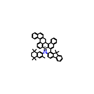 Cc1cc2c(cc1N1B3c4cccc5c4C(Cc4ccc6ccccc6c4-5)c4c3c(cc3ccccc43)-c3c1ccc1c3C(C)(C)c3ccccc3-1)C(C)(C)CCC2(C)C